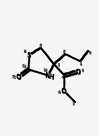 CCCC1(C(=O)OC)CSC(=O)N1